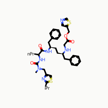 CCCC(NC(=O)N(C)Cc1csc(C(C)C)n1)C(=O)N[C@H](CC[C@H](Cc1ccccc1)NCC(=O)OCc1cncs1)Cc1ccccc1